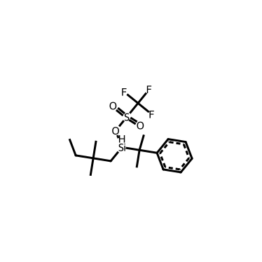 CCC(C)(C)C[SiH](OS(=O)(=O)C(F)(F)F)C(C)(C)c1ccccc1